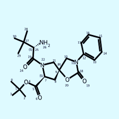 CC(C)(C)OC(=O)[C@@H]1C[C@]2(CN(c3ccccc3)C(=O)O2)CN1C(=O)[C@@H](N)C(C)(C)C